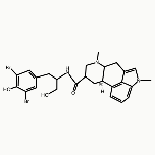 CN1CC(C(=O)NC(CO)Cc2cc(Br)c(O)c(Br)c2)C[C@@H]2c3cccc4c3c(cn4C)CC21